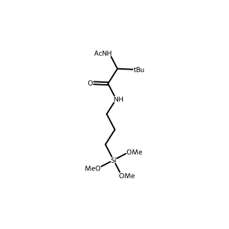 CO[Si](CCCNC(=O)C(NC(C)=O)C(C)(C)C)(OC)OC